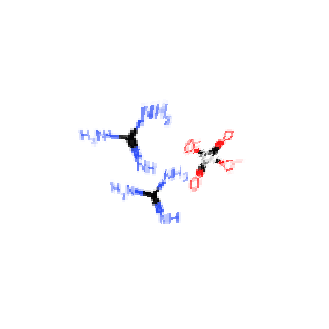 N=C(N)[NH3+].N=C(N)[NH3+].[O]=[Cr](=[O])([O-])[O-]